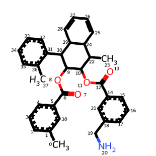 Cc1cccc(C(=O)OC2C(OC(=O)c3cccc(CN)c3)C(C)C3C=CC=CC3C2c2ccccc2C)c1